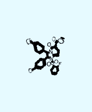 COC(=O)c1ccc2n(c1=O)C(c1ccc(Cl)cc1)C(c1ccc(Cl)cc1)N2S(=O)(=O)c1ccccc1F